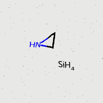 C1CN1.[SiH4]